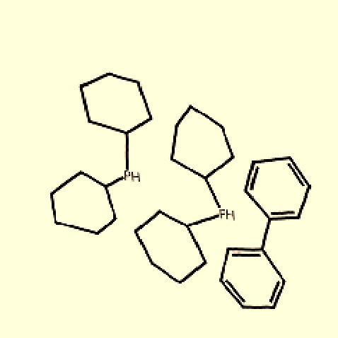 C1CCC(PC2CCCCC2)CC1.C1CCC(PC2CCCCC2)CC1.c1ccc(-c2ccccc2)cc1